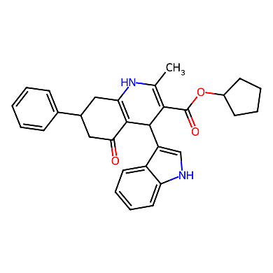 CC1=C(C(=O)OC2CCCC2)C(c2c[nH]c3ccccc23)C2=C(CC(c3ccccc3)CC2=O)N1